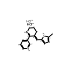 Cc1ccc(C=C2CCCN=C2c2cccnc2)s1.Cl.Cl